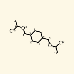 CC(Cl)OCC1CCC(COC(C)Cl)CC1